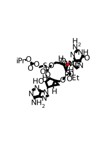 CCOP1(=O)OCC23C[C@@H]2[C@@H](n2cnc4c(N)ncnc42)[C@H](O)[C@@H]3OP(=O)(SCOC(=O)OC(C)C)OC[C@H]2OC(n3cnc4c(=O)[nH]c(N)nc43)[C@H]1[C@@H]2OC